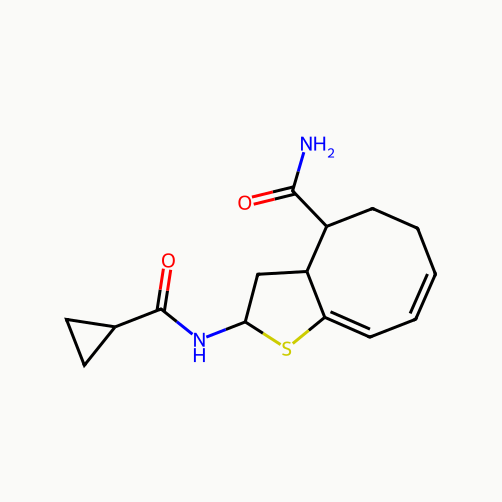 NC(=O)C1CCC=CC=C2SC(NC(=O)C3CC3)CC21